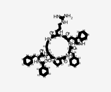 N=C(N)NCCCC1NC(=O)C(Cc2c[nH]c3ccccc23)NC(=O)[C@@H](CC2CCCCC2)NC(=O)C2CCCN2C(=O)[C@@H](NC(=O)[C@H](Cc2ccccc2)NC(=O)c2ccccc2)CCCNC1=O